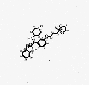 CN1CCC(NC(c2cccc(OCCCC3(C)OCCO3)c2)c2nc3ccccc3[nH]2)CC1